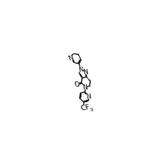 O=C1c2cn(C3=CCCN=C3)nc2CCN1c1ccc(C(F)(F)F)cn1